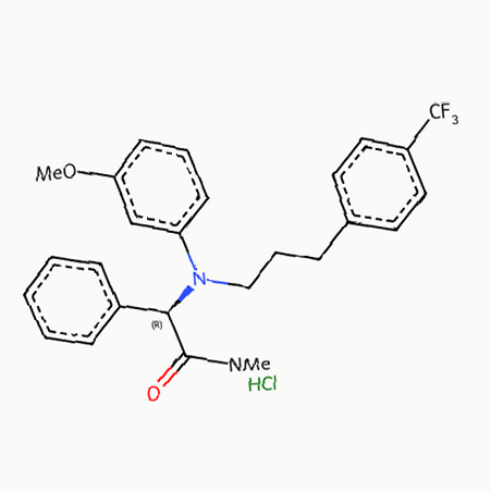 CNC(=O)[C@@H](c1ccccc1)N(CCCc1ccc(C(F)(F)F)cc1)c1cccc(OC)c1.Cl